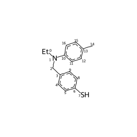 CCN(Cc1ccc(S)cc1)c1ccc(C)cc1